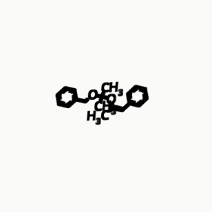 CC(=Cc1ccccc1)OC(C)(C)OCc1ccccc1